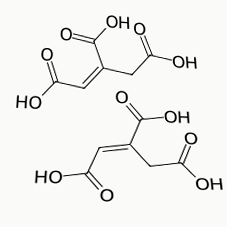 O=C(O)/C=C(\CC(=O)O)C(=O)O.O=C(O)C=C(CC(=O)O)C(=O)O